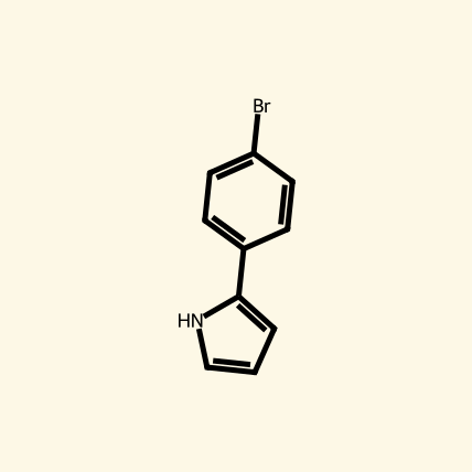 Brc1ccc(-c2ccc[nH]2)cc1